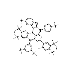 Cc1cc2c(cc1-c1cc3c4c(c1)N(c1ccc(C(C)(C)C)cc1)c1sc5ccc(C(C)(C)C)cc5c1B4c1cc4c(cc1N3c1cc(C(C)(C)C)cc(C(C)(C)C)c1)C(C)(C)CCC4(C)C)C(C)(C)CCC2(C)C